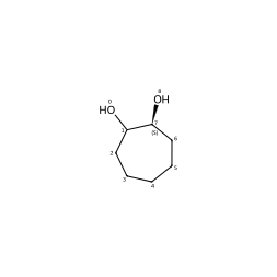 OC1CCCCC[C@@H]1O